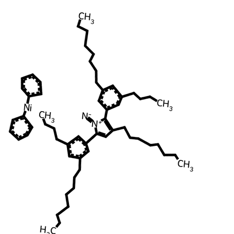 CCCCCCCCC1=C(c2cc(CCCC)cc(CCCCCCCC)c2)[N+](=[N-])C(c2cc(CCCC)cc(CCCCCCCC)c2)=C1.c1cc[c]([Ni][c]2ccccc2)cc1